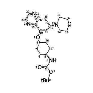 CC(C)(C)OC(=O)N[C@H]1CC[C@@H](Oc2cc(N3CCOCC3)cc3nccnc23)CC1